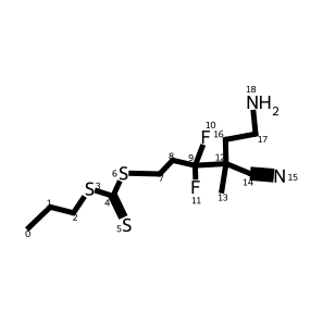 CCCSC(=S)SCCC(F)(F)C(C)(C#N)CCN